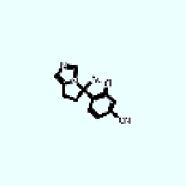 CC(=O)C1(c2ccc(C#N)cc2Cl)CCc2cncn21